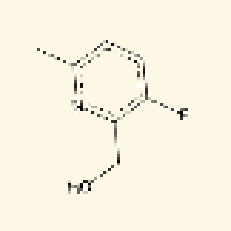 Cc1ccc(F)c(CO)n1